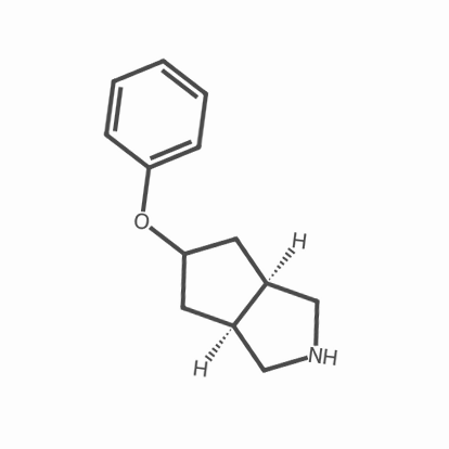 c1ccc(OC2C[C@H]3CNC[C@H]3C2)cc1